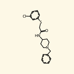 O=C(CSc1cccc(Cl)c1)NC1CCN(Cc2ccccc2)CC1